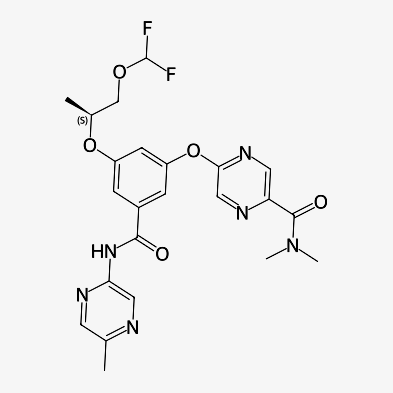 Cc1cnc(NC(=O)c2cc(Oc3cnc(C(=O)N(C)C)cn3)cc(O[C@@H](C)COC(F)F)c2)cn1